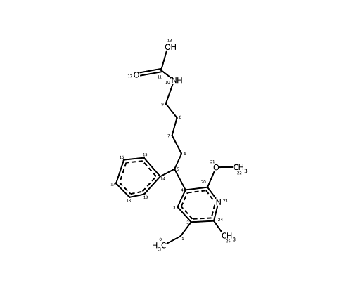 CCc1cc(C(CCCCNC(=O)O)c2ccccc2)c(OC)nc1C